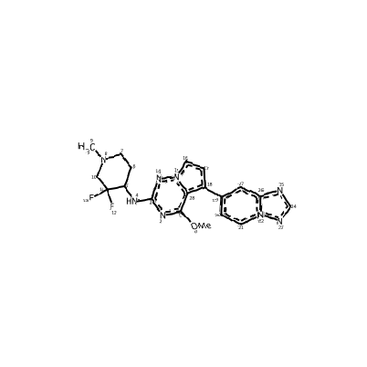 COc1nc(NC2CCN(C)CC2(F)F)nn2ccc(-c3ccn4ncnc4c3)c12